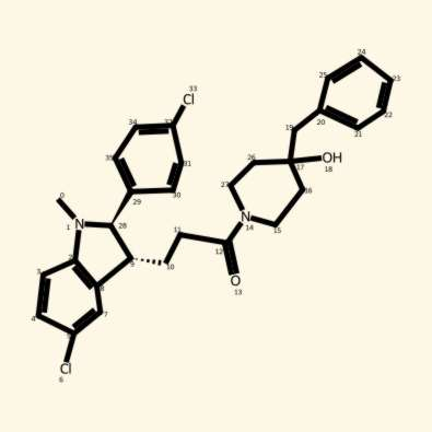 CN1c2ccc(Cl)cc2[C@@H](CCC(=O)N2CCC(O)(Cc3ccccc3)CC2)[C@@H]1c1ccc(Cl)cc1